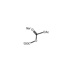 CC(=O)OC(=O)OC(=O)[O-].[Na+]